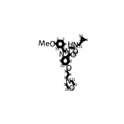 COc1cccc(-c2nc3ccc(OCCCN4CCOCC4)cc3c(=O)n2CC(=O)NCC2CC2)c1